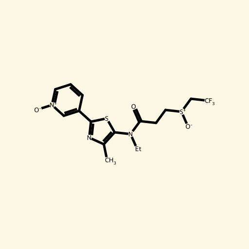 CCN(C(=O)CC[S+]([O-])CC(F)(F)F)c1sc(-c2ccc[n+]([O-])c2)nc1C